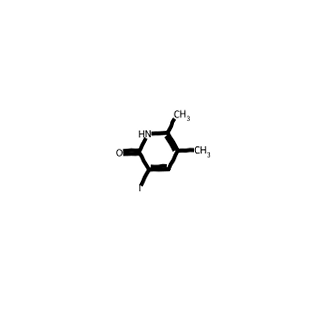 Cc1cc(I)c(=O)[nH]c1C